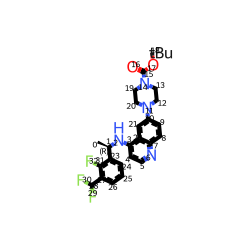 C[C@@H](Nc1ccnc2ccc(N3CCN(C(=O)OC(C)(C)C)CC3)cc12)c1cccc(C(F)F)c1F